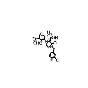 CCC1COCC(N2CCN(Cc3ccc(F)c(Cl)c3)C(=O)/C2=C(/C)O)=C1C=O